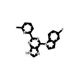 Cc1cccc(-c2nc(-n3ccc4cc(F)ccc43)c3nc[nH]c3n2)n1